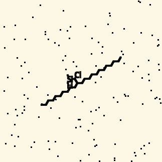 CCCCCCCCCCCCC(CCCCCCCCCC)C(Cl)[SiH](C)C